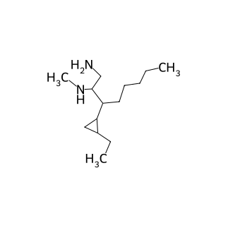 CCCCCC(C(CN)NC)C1CC1CC